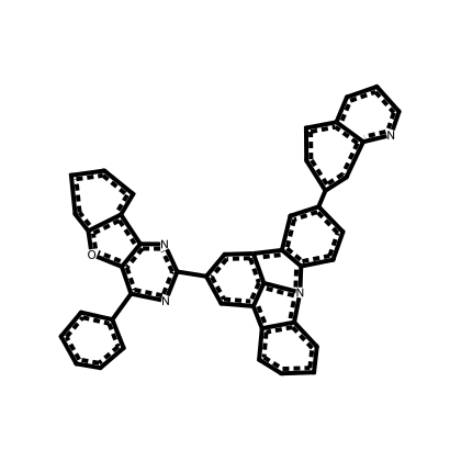 c1ccc(-c2nc(-c3cc4c5ccccc5n5c6ccc(-c7ccc8cccnc8c7)cc6c(c3)c45)nc3c2oc2ccccc23)cc1